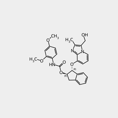 COc1ccc(NC(=O)O[C@@H]2Cc3ccccc3[C@H]2Oc2cccn3c(CO)c(C)nc23)c(OC)c1